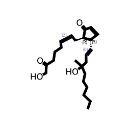 CCCCCCC(C)(O)C/C=C/[C@H]1C=CC(=O)[C@@H]1C/C=C\CCCC(=O)CO